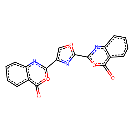 O=c1oc(-c2coc(-c3nc4ccccc4c(=O)o3)n2)nc2ccccc12